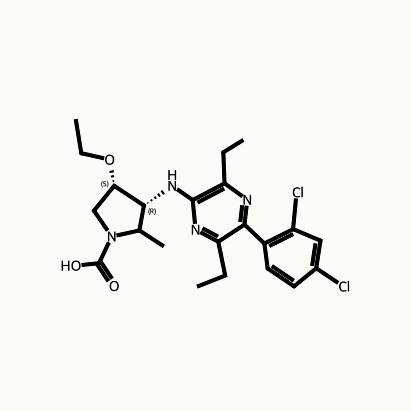 CCO[C@H]1CN(C(=O)O)C(C)[C@H]1Nc1nc(CC)c(-c2ccc(Cl)cc2Cl)nc1CC